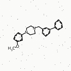 COc1cccc(N2CCN(Cc3cccc(-c4ccccc4)c3)CC2)c1